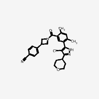 Cc1cc(C)c(-c2[nH]nc(C3CCOCC3)c2Cl)cc1C(=O)N1CC(c2ccc(C#N)cc2)C1